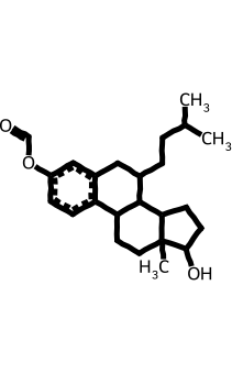 CC(C)CCC1Cc2cc(OC=O)ccc2C2CCC3(C)C(O)CCC3C12